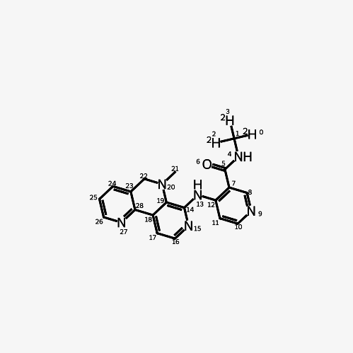 [2H]C([2H])([2H])NC(=O)c1cnccc1Nc1nccc2c1N(C)Cc1cccnc1-2